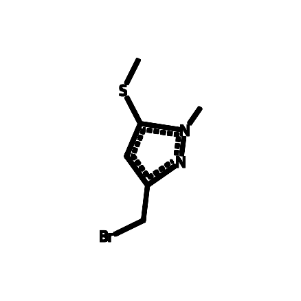 CSc1cc(CBr)nn1C